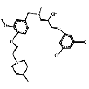 COc1cc(CN(C)CC(O)COc2cc(Cl)cc(Cl)c2)ccc1OCCN1CCC(C)CC1